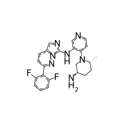 C[C@@H]1CC[C@@H](N)CN1c1ccncc1Nc1ncc2ccc(-c3c(F)cccc3F)nn12